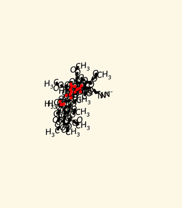 CC(=O)OC[C@H]1O[C@@H](OCCCN=[N+]=[N-])[C@H](OC(C)=O)[C@H](OC(C)=O)[C@@H]1OC1O[C@H](COC(C)=O)[C@@H](OC2O[C@H](COC(C)=O)[C@@H](OC3O[C@H](COC(C)=O)[C@@H](OC4O[C@H](COC(C)=O)[C@@H](OC5O[C@H](COC(C)=O)[C@@H](OC(C)=O)[C@@H](OC(C)=O)[C@H]5OC(C)=O)[C@@H](OC(C)=O)[C@H]4OC(C)=O)[C@@H](OC(C)=O)[C@H]3OC(C)=O)[C@@H](OC(C)=O)[C@H]2OC(C)=O)[C@@H](OC(C)=O)[C@H]1OC(C)=O